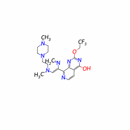 C=N/C(=C\N(C)CCN1CCN(C)CC1)c1nccc2c(O)nc(OCC(F)(F)F)nc12